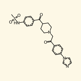 CS(=O)(=O)Nc1ccc(C(=O)C2CCN(CC(=O)c3ccc(-n4ccnc4)cc3)CC2)cc1